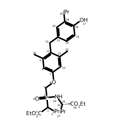 CCOC(=O)C(C(C)C)P(=O)(COc1cc(C)c(Cc2ccc(O)c(C(C)C)c2)c(C)c1)N[C@H](C(=O)OCC)C(C)C